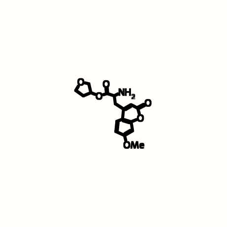 COc1ccc2c(CC(N)C(=O)OC3CCOC3)cc(=O)oc2c1